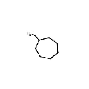 CC1CC[CH]CCC1